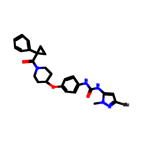 Cn1nc(C(C)(C)C)cc1NC(=O)Nc1ccc(OC2CCN(C(=O)C3(c4ccccc4)CC3)CC2)cc1